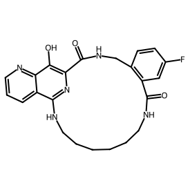 O=C1NCCCCCCNc2nc(c(O)c3ncccc23)C(=O)NCc2ccc(F)cc21